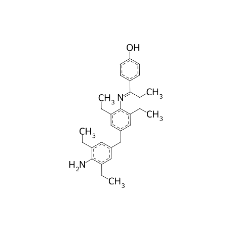 CC/C(=N\c1c(CC)cc(Cc2cc(CC)c(N)c(CC)c2)cc1CC)c1ccc(O)cc1